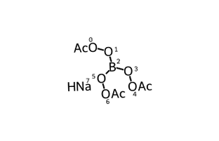 CC(=O)OOB(OOC(C)=O)OOC(C)=O.[NaH]